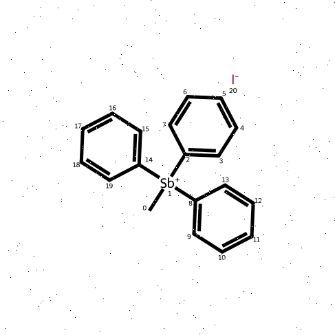 [CH3][Sb+]([c]1ccccc1)([c]1ccccc1)[c]1ccccc1.[I-]